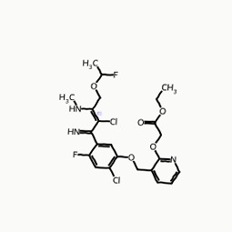 CCOC(=O)COc1ncccc1COc1cc(C(=N)/C(Cl)=C(/COC(C)F)NC)c(F)cc1Cl